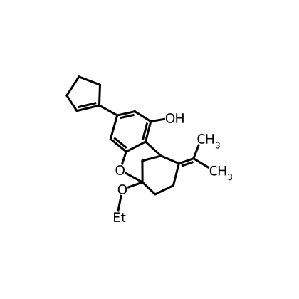 CCOC12CCC(=C(C)C)C(C1)c1c(O)cc(C3=CCCC3)cc1O2